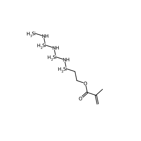 C=C(C)C(=O)OCC[SiH2]N[SiH2]N[SiH2]N[SiH3]